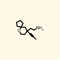 CC#CC1(CCN)CCOC2(CCCC2)C1